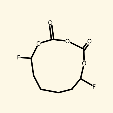 O=C1OC(=O)OC(F)CCCCC(F)O1